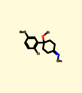 CCOC1(c2cc(OC)ccc2CC)CCC(=NOC(C)=O)CC1